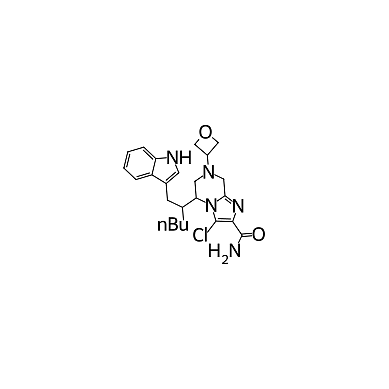 CCCCC(Cc1c[nH]c2ccccc12)C1CN(C2COC2)Cc2nc(C(N)=O)c(Cl)n21